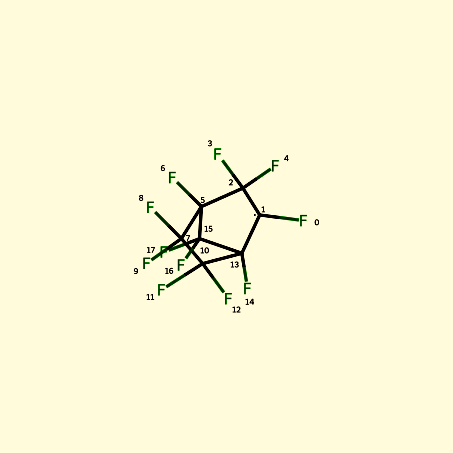 F[C]1C(F)(F)C2(F)C(F)(F)C(F)(F)C1(F)C2(F)F